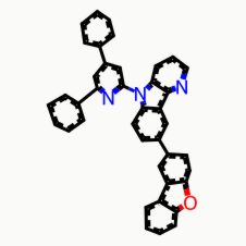 c1ccc(-c2cc(-c3ccccc3)nc(-n3c4ccc(-c5ccc6oc7ccccc7c6c5)cc4c4ncccc43)c2)cc1